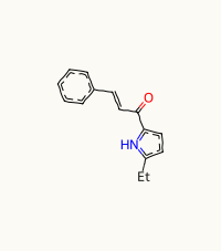 CCc1ccc(C(=O)C=Cc2ccccc2)[nH]1